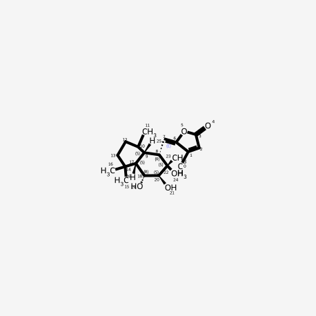 CC1=CC(=O)O/C1=C/[C@H]1[C@H]2C(C)CCC(C)(C)[C@H]2[C@@H](O)[C@H](O)[C@@]1(C)O